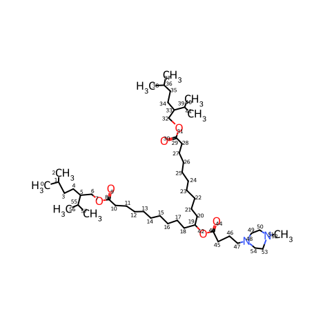 CC(C)CCC(COC(=O)CCCCCCCCCC(CCCCCCCCCC(=O)OCC(CCC(C)C)C(C)C)OC(=O)CCCN1CCN(C)CC1)C(C)C